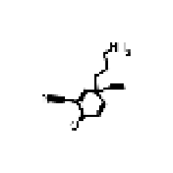 C#CC1(CCCN)C=CC(=O)C(C#N)=C1